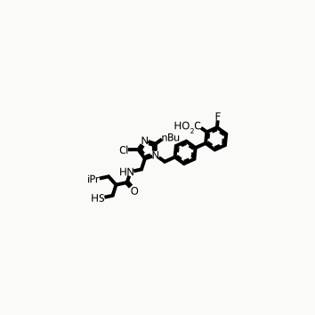 CCCCc1nc(Cl)c(CNC(=O)C(CS)CC(C)C)n1Cc1ccc(-c2cccc(F)c2C(=O)O)cc1